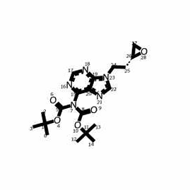 CC(C)(C)OC(=O)N(C(=O)OC(C)(C)C)c1ncnc2c1ncn2CC[C@@H]1CO1